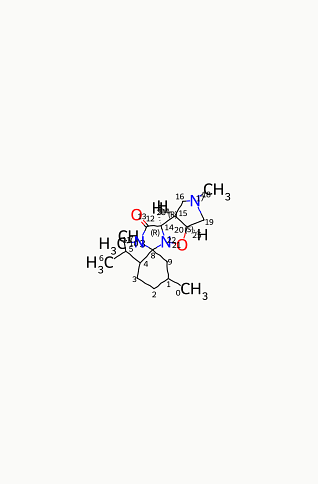 CC1CCC(C(C)C)C2(C1)N(C)C(=O)[C@H]1[C@H]3CN(C)C[C@H]3ON12